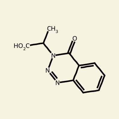 CC(C(=O)O)n1nnc2ccccc2c1=O